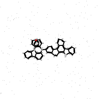 c1ccc(N(c2ccc3c(ccc4c5oc6ccccc6c5c5ccccc5c34)c2)c2cccc3c4ccccc4n(-c4ccccc4)c23)cc1